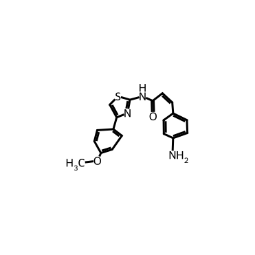 COc1ccc(-c2csc(NC(=O)/C=C\c3ccc(N)cc3)n2)cc1